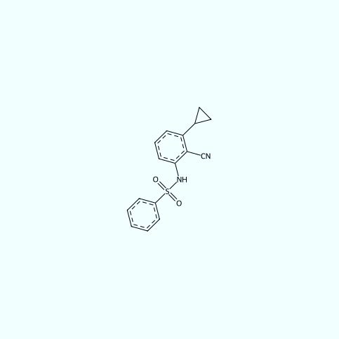 N#Cc1c(NS(=O)(=O)c2ccccc2)cccc1C1CC1